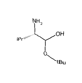 CC(C)[C@H](N)C(O)OC(C)(C)C